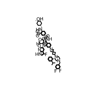 CC(C)c1ccccc1[C@@H]1CN(Cc2ccc(F)c(F)c2)CCN1C1CC2(C1)CN(c1ccc(C(=O)NS(=O)(=O)c3ccc(NC[C@H]4CC[C@](C)(O)CC4)c([N+](=O)[O-])c3)c(N3c4cc5c(F)c[nH]c5nc4O[C@H]4COCC[C@@H]43)c1)C2